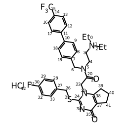 CCN(CC)CCN(Cc1ccc(-c2ccc(C(F)(F)F)cc2)cc1)C(=O)Cn1c(SCc2ccc(F)cc2)nc(=O)c2c1CCC2.Cl